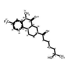 C[C@@H](O)COCCC(=O)N1CCN2c3ncc(C(F)(F)F)cc3N(C)C(=O)C2C1